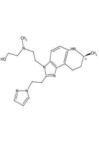 C[C@H]1CCc2c(ccc3c2nc(CCn2cccn2)n3CCN(C)CCO)N1